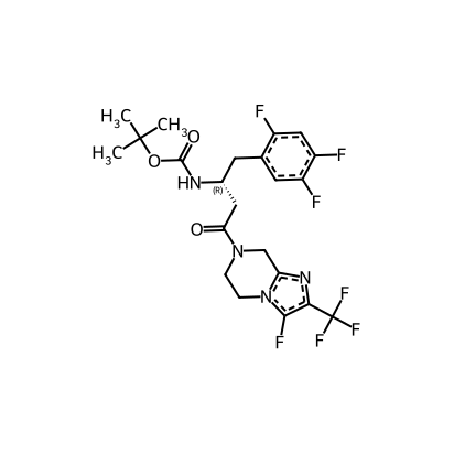 CC(C)(C)OC(=O)N[C@@H](CC(=O)N1CCn2c(nc(C(F)(F)F)c2F)C1)Cc1cc(F)c(F)cc1F